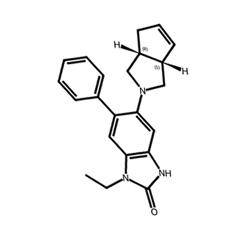 CCn1c(=O)[nH]c2cc(N3C[C@@H]4CC=C[C@@H]4C3)c(-c3ccccc3)cc21